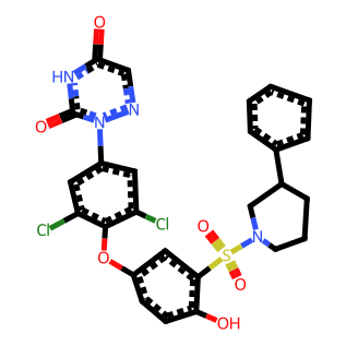 O=c1cnn(-c2cc(Cl)c(Oc3ccc(O)c(S(=O)(=O)N4CCCC(c5ccccc5)C4)c3)c(Cl)c2)c(=O)[nH]1